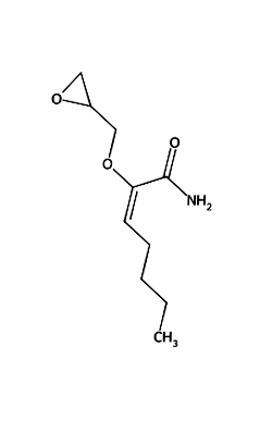 CCCC/C=C(/OCC1CO1)C(N)=O